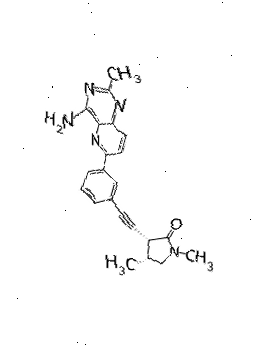 Cc1nc(N)c2nc(-c3cccc(C#C[C@@H]4C(=O)N(C)C[C@@H]4C)c3)ccc2n1